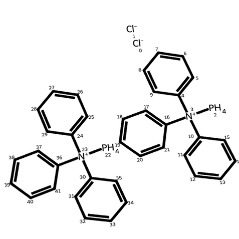 [Cl-].[Cl-].[PH4][N+](c1ccccc1)(c1ccccc1)c1ccccc1.[PH4][N+](c1ccccc1)(c1ccccc1)c1ccccc1